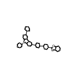 c1ccc(-c2ccc3c(c2)c2cc(-c4ccc(-c5ccc(-c6nc7ccccc7o6)cc5)cc4)ccc2n3-c2ccccc2)cc1